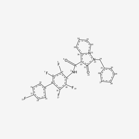 O=C(Nc1c(F)c(F)c(-c2ccc(F)cc2)c(F)c1F)c1c(=O)n(Cc2ccccc2)n2ccccc12